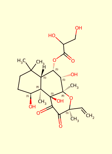 C=C[C@]1(C)O[C@]2(C)[C@@H](O)[C@@H](OC(=O)C(O)CO)[C@H]3C(C)(C)CC[C@H](O)[C@]3(C)[C@@]2(O)C(=O)C1=O